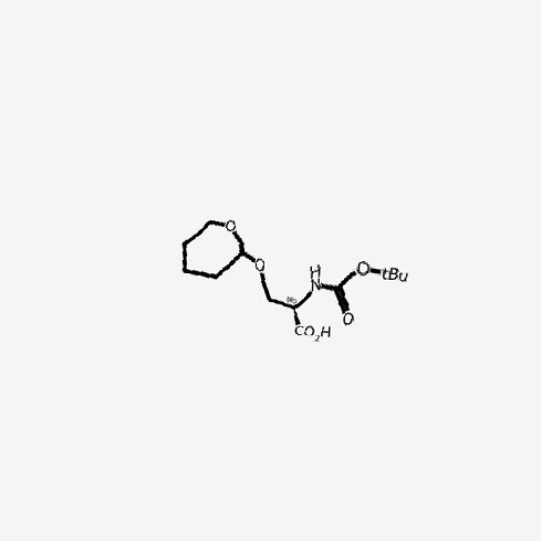 CC(C)(C)OC(=O)N[C@H](COC1CCCCO1)C(=O)O